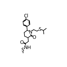 CSNC(=O)CC1CCC(c2ccc(Cl)cc2)N(CCSC(C)C)C1=O